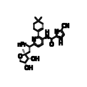 CCCC(C[C@]1(C)OC[C@@H](O)[C@H]1O)c1ccc(NC(=O)c2nc(C#N)c[nH]2)c(C2=CCC(C)(C)CC2)n1